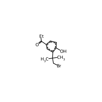 CCC(=O)c1ccc(O)c(C(C)(C)CBr)c1